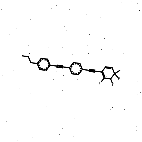 CCCc1ccc(C#Cc2ccc(C#CC3=C(F)C(F)C(C)(F)C=C3)cc2)cc1